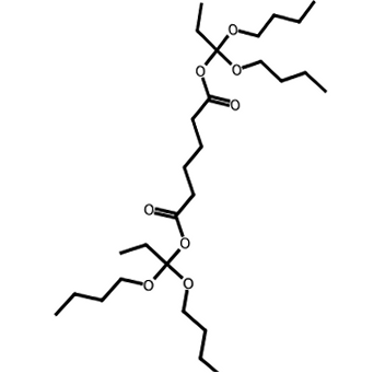 CCCCOC(CC)(OCCCC)OC(=O)CCCCC(=O)OC(CC)(OCCCC)OCCCC